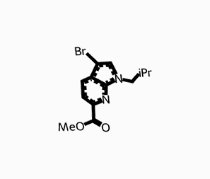 COC(=O)c1ccc2c(Br)cn(CC(C)C)c2n1